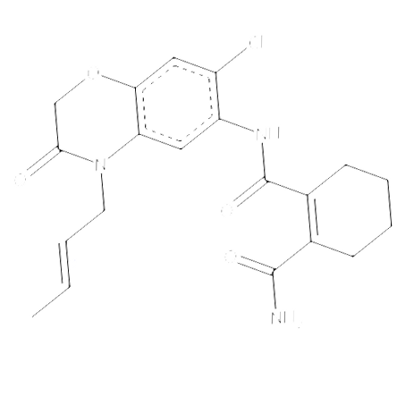 C/C=C/CN1C(=O)COc2cc(Cl)c(NC(=O)C3=C(C(N)=O)CCCC3)cc21